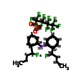 CCCC(F)c1ccccc1[I+]c1ccccc1C(F)CCC.O=S(=O)([O-])C(F)(F)C(F)(F)C(F)(F)C(F)(F)F